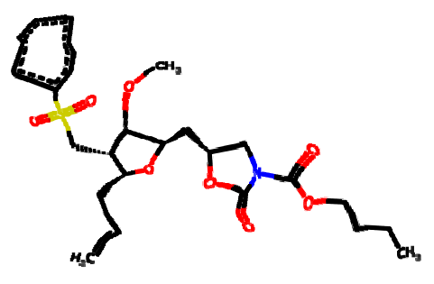 C=CC[C@@H]1O[C@H](C[C@H]2CN(C(=O)OCCCC)C(=O)O2)[C@H](OC)[C@H]1CS(=O)(=O)c1ccccc1